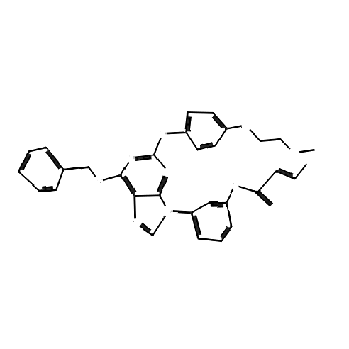 C/C=C/C(=O)Nc1cccc(-n2cnc3c(NCc4ccccc4)nc(Nc4ccc(OCCOC)cc4)nc32)c1